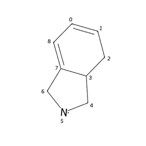 C1=CCC2C[N]CC2=C1